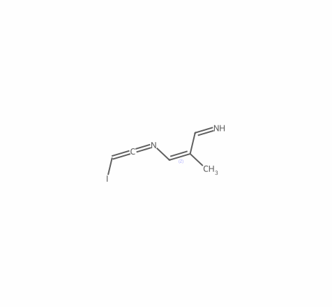 C/C(C=N)=C/N=C=CI